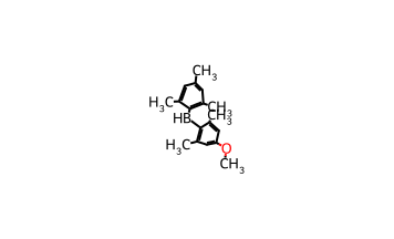 COc1cc(C)c(Bc2c(C)cc(C)cc2C)c(C)c1